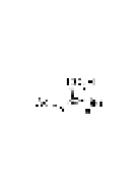 CC[C@H](C)[C@@H](SC(C)=O)C(=O)O